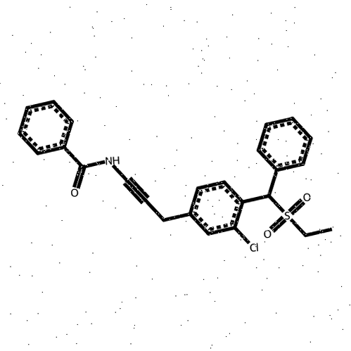 CCS(=O)(=O)C(c1ccccc1)c1ccc(CC#CNC(=O)c2ccccc2)cc1Cl